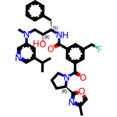 Cc1coc([C@H]2CCCN2C(=O)c2cc(CF)cc(C(=O)N[C@@H](Cc3ccccc3)[C@H](O)CN(C)c3cncc(C(C)C)c3)c2)n1